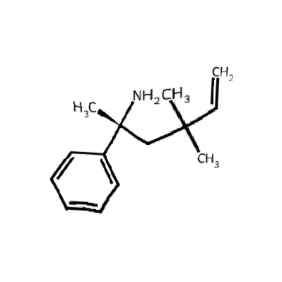 C=CC(C)(C)C[C@@](C)(N)c1ccccc1